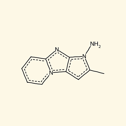 Cc1cc2c(nc3ccccn32)n1N